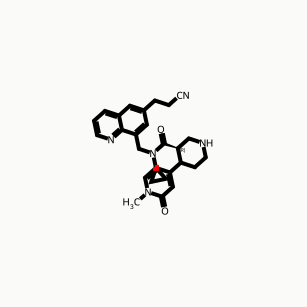 Cn1ccc(C2CCNC[C@@H]2C(=O)N(Cc2cc(CCC#N)cc3cccnc23)C2CC2)cc1=O